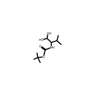 CC(C)C(NC(=O)OC(C)(C)C)C(O)O